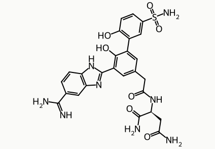 N=C(N)c1ccc2[nH]c(-c3cc(CC(=O)N[C@@H](CC(N)=O)C(N)=O)cc(-c4cc(S(N)(=O)=O)ccc4O)c3O)nc2c1